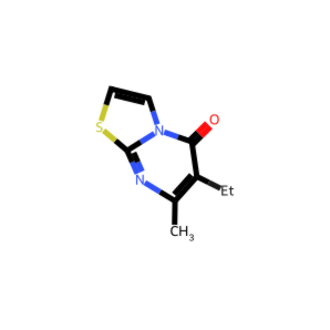 CCc1c(C)nc2sccn2c1=O